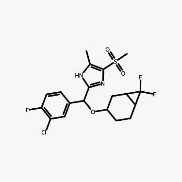 Cc1[nH]c(C(OC2CCC3C(C2)C3(F)F)c2ccc(F)c(Cl)c2)nc1S(C)(=O)=O